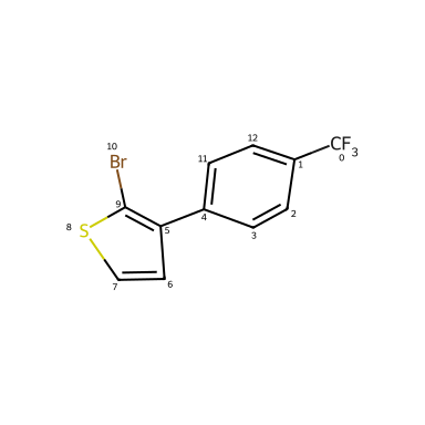 FC(F)(F)c1ccc(-c2ccsc2Br)cc1